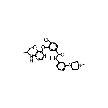 CC1COc2c(ncnc2Oc2cc(C(=O)Nc3cccc(N4CCN(C)CC4)c3)ccc2Cl)N1